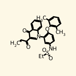 C=CC(=O)c1cn(-c2cc(NS(=O)(=O)CC)ccc2Oc2c(C)cccc2C)c2ccccc2c1=O